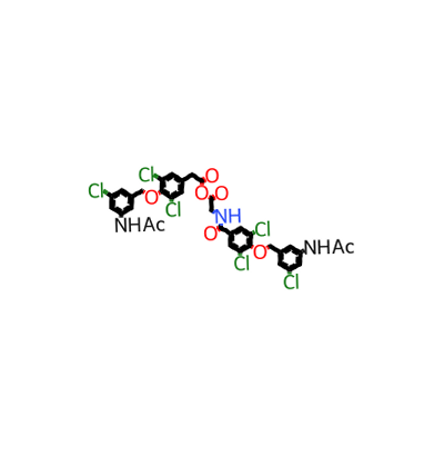 CC(=O)Nc1cc(Cl)cc(COc2c(Cl)cc(CC(=O)OC(=O)CNC(=O)c3cc(Cl)c(OCc4cc(Cl)cc(NC(C)=O)c4)c(Cl)c3)cc2Cl)c1